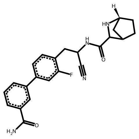 N#CC(Cc1ccc(-c2cccc(C(N)=O)c2)cc1F)NC(=O)C1N[C@@H]2CCC1C2